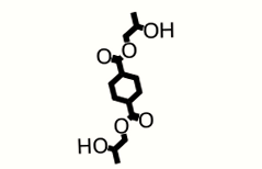 CC(O)COC(=O)C1CCC(C(=O)OCC(C)O)CC1